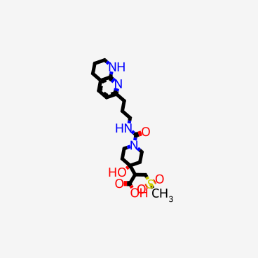 CS(=O)(=O)CC(C(=O)O)C1(O)CCN(C(=O)NCCCc2ccc3c(n2)NCCC3)CC1